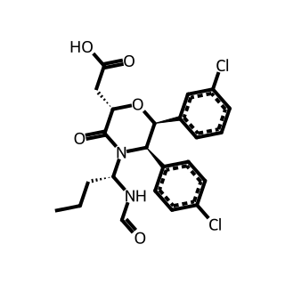 CCC[C@@H](NC=O)N1C(=O)[C@H](CC(=O)O)O[C@@H](c2cccc(Cl)c2)[C@H]1c1ccc(Cl)cc1